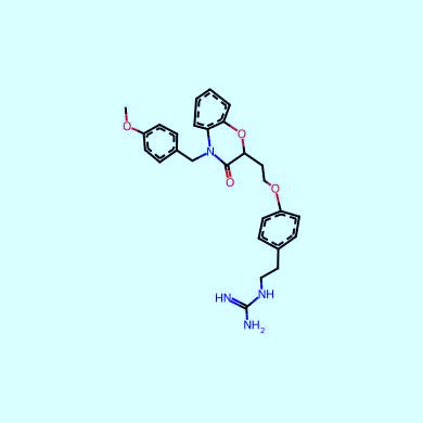 COc1ccc(CN2C(=O)C(CCOc3ccc(CCNC(=N)N)cc3)Oc3ccccc32)cc1